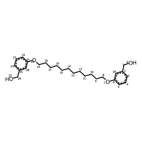 OCc1cccc(OCCCCCCCCCCCCOc2cccc(CO)c2)c1